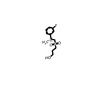 C[C@@H](CS(=O)(=O)CCCO)c1cccc(F)c1